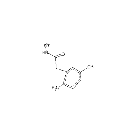 CCCNC(=O)Cc1cc(O)ccc1N